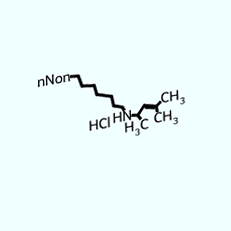 CCCCCCCCCCCCCCCCNC(C)C=C(C)C.Cl